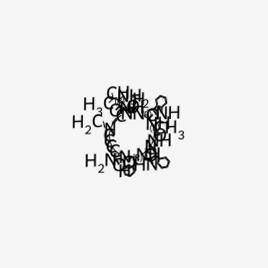 C=CCN1C#CCN(NC(=O)[C@H](N)C(C)C)C(=O)N[C@H](Cc2c[nH]c3ccccc23)C(=O)N[C@@H](C)C(=O)NN(Cc2c[nH]c3ccccc23)C(=O)N[C@H](Cc2ccccc2)C(=O)N[C@H](C(N)=O)CCCC1